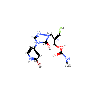 CC(C)(C)NC(=O)OC/C(=C/F)Cn1ncn(-c2ccnc(Br)c2)c1=O